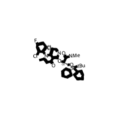 CNC(=O)[C@H](CO[Si](c1ccccc1)(c1ccccc1)C(C)(C)C)Oc1ncc(Cl)c2c1c(=O)cc(C)n2-c1c(Cl)cc(F)cc1Cl